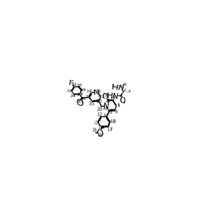 CN[C@H](C)C(=O)Nc1ccc(-c2ccc(OC)cc2)n(Cc2cncc(C(=O)c3ccc(F)cc3)c2)c1=O